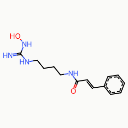 N=C(NO)NCCCCNC(=O)C=Cc1ccccc1